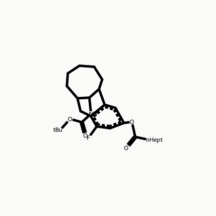 CCCCCCCC(=O)Oc1cc(F)c2c(c1)C1CCCCCC(C2)C1NC(=O)OC(C)(C)C